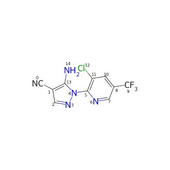 N#Cc1cnn(-c2ncc(C(F)(F)F)cc2Cl)c1N